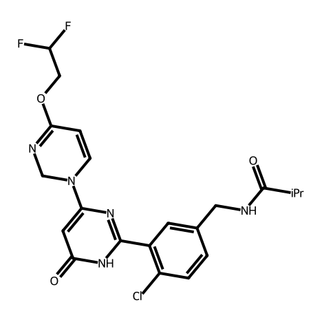 CC(C)C(=O)NCc1ccc(Cl)c(-c2nc(N3C=CC(OCC(F)F)=NC3)cc(=O)[nH]2)c1